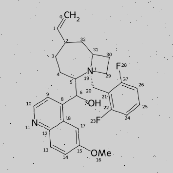 C=CC1CCC(C(O)c2ccnc3ccc(OC)cc23)[N@+]2(Cc3c(F)cccc3F)CCC2C1